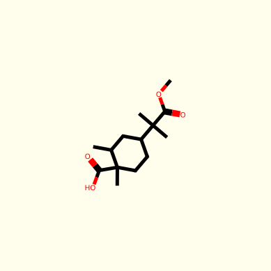 COC(=O)C(C)(C)C1CCC(C)(C(=O)O)C(C)C1